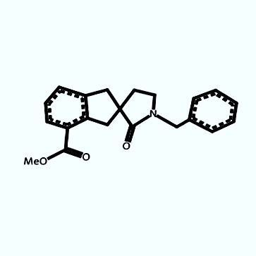 COC(=O)c1cccc2c1CC1(CCN(Cc3ccccc3)C1=O)C2